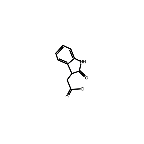 O=C(Cl)CC1C(=O)Nc2ccccc21